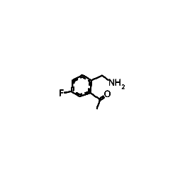 CC(=O)c1cc(F)ccc1CN